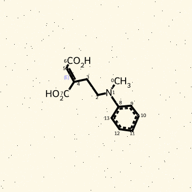 CN(CC/C(=C\C(=O)O)C(=O)O)c1ccccc1